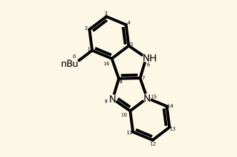 CCCCc1cccc2[nH]c3c(nc4ccccn43)c12